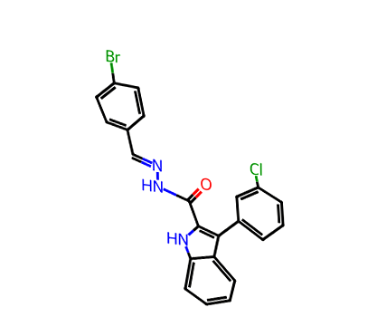 O=C(NN=Cc1ccc(Br)cc1)c1[nH]c2ccccc2c1-c1cccc(Cl)c1